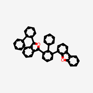 c1ccc(-c2ccccc2-c2oc(-c3cccc(-c4cccc5c4oc4ccccc45)c3-c3ccccc3)c3ccccc23)cc1